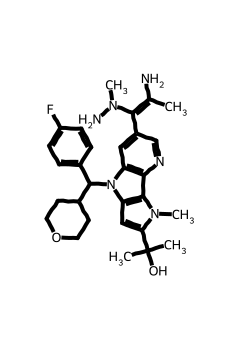 C/C(N)=C(\c1cnc2c3c(cc(C(C)(C)O)n3C)n(C(c3ccc(F)cc3)C3CCOCC3)c2c1)N(C)N